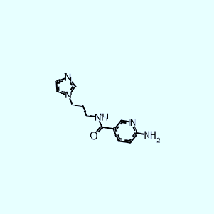 Nc1ccc(C(=O)NCCCn2ccnc2)cn1